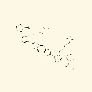 C[Si](C)(C)CCOCn1c(-c2nc3cc4sc(-c5cnc([C@@H]6CCCN6C(=O)O)n5COCC[Si](C)(C)C)nc4cc3s2)cnc1[C@@H]1CCCN1C(=O)O